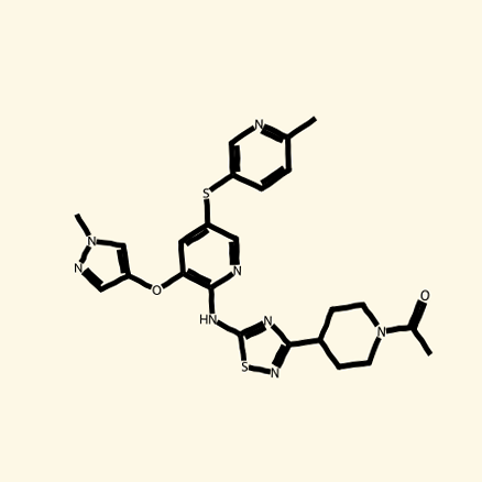 CC(=O)N1CCC(c2nsc(Nc3ncc(Sc4ccc(C)nc4)cc3Oc3cnn(C)c3)n2)CC1